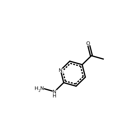 CC(=O)c1ccc(NN)nc1